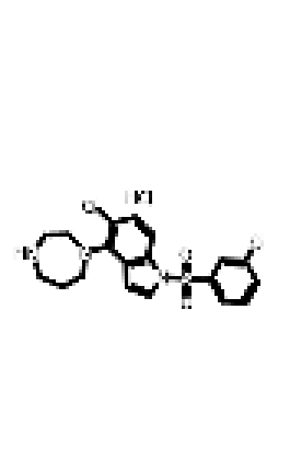 Cl.O=S(=O)(c1cccc(Cl)c1)n1ccc2c(N3CCCNCC3)c(Cl)ccc21